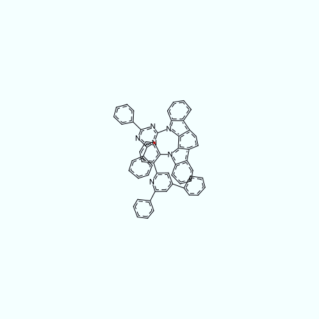 c1ccc(-c2cc(-c3ccccc3)nc(-c3ccccc3-n3c4ccccc4c4ccc5c6ccccc6n(-c6nc(-c7ccccc7)nc(-c7ccccc7)n6)c5c43)c2)cc1